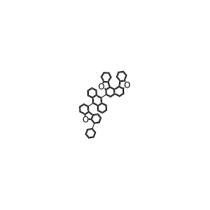 c1ccc(-c2cccc3c2oc2cccc(-c4c5ccccc5c(-c5cc6ccc7oc8ccccc8c7c6c6c5oc5ccccc56)c5ccccc45)c23)cc1